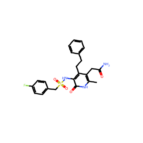 Cc1[nH]c(=O)c(NS(=O)(=O)Cc2ccc(F)cc2)c(CCc2ccccc2)c1CC(N)=O